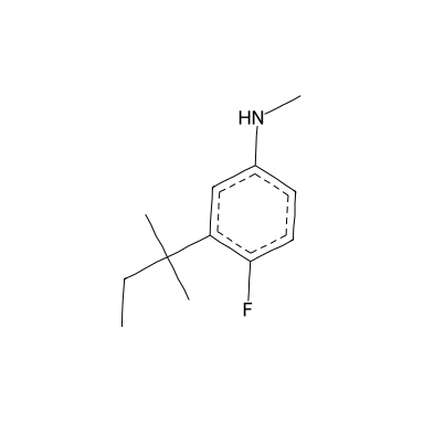 CCC(C)(C)c1cc(NC)ccc1F